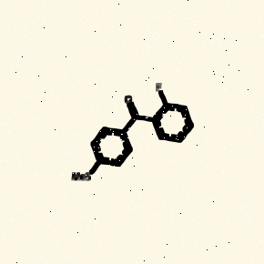 CSc1ccc(C(=O)c2ccccc2F)cc1